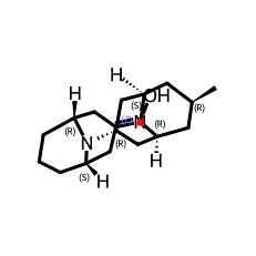 C[C@H]1C[C@@H]2C[C@H](C1)C[C@@H](N1[C@@H]3CCC[C@H]1C/C(=N/O)C3)C2